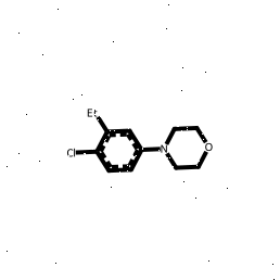 CCc1cc(N2CCOCC2)ccc1Cl